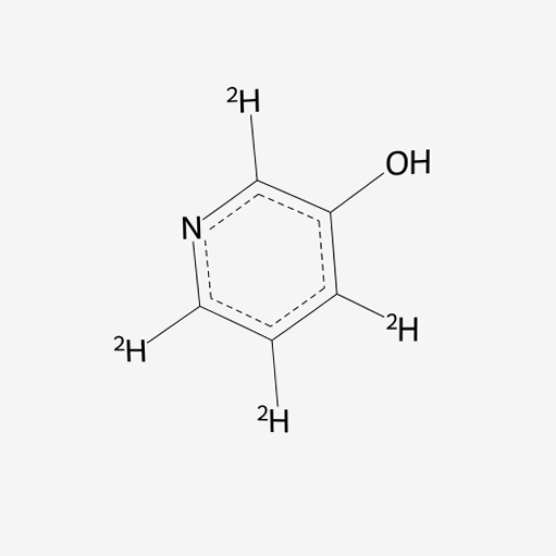 [2H]c1nc([2H])c(O)c([2H])c1[2H]